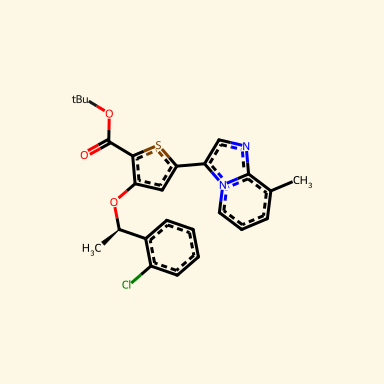 Cc1cccn2c(-c3cc(O[C@H](C)c4ccccc4Cl)c(C(=O)OC(C)(C)C)s3)cnc12